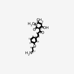 Cc1cc(O)c(C(=O)C=Cc2cccc(OCCN)c2)c(=O)n1C